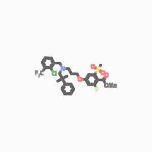 COC(=O)c1c(F)cc(OCCCN(Cc2cccc(C(F)(F)F)c2Cl)CC(C)(C)c2ccccc2)cc1S(C)(=O)=O